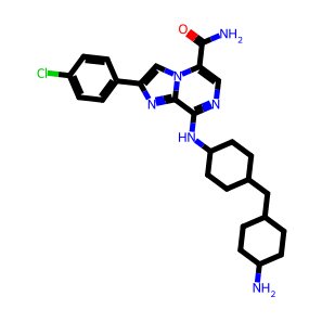 NC(=O)c1cnc(NC2CCC(CC3CCC(N)CC3)CC2)c2nc(-c3ccc(Cl)cc3)cn12